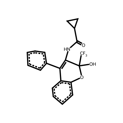 O=C(NC1=C(c2ccccc2)c2ccccc2OC1(O)C(F)(F)F)C1CC1